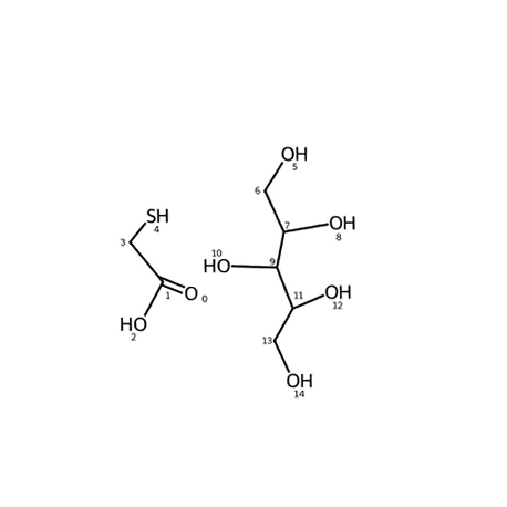 O=C(O)CS.OCC(O)C(O)C(O)CO